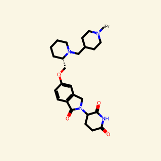 CC(C)N1CCC(CN2CCCC[C@H]2COc2ccc3c(c2)CN(C2CCC(=O)NC2=O)C3=O)CC1